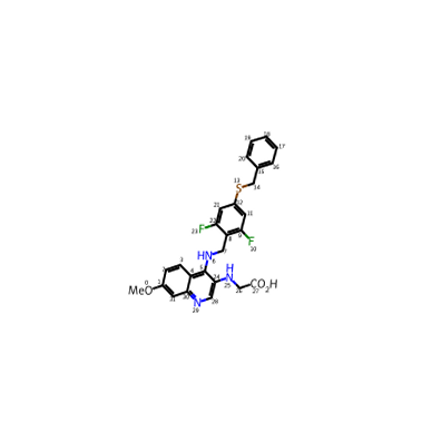 COc1ccc2c(NCc3c(F)cc(SCc4ccccc4)cc3F)c(NCC(=O)O)cnc2c1